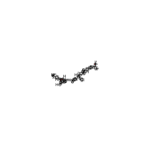 Cc1cc(S(=O)(=O)NC(=O)c2ccc(N3CCN(CC4=C(C56CC(C)(C5)C6)CC(C)(C)CC4)CC3)cc2)ccc1N[C@H](CCN1CCN(C(=O)CCCCCC(=O)N[C@H](C(=O)N2C[C@H](O)C[C@H]2C(=O)NCc2ccc(-c3scnc3C)cc2)C(C)(C)C)CC1)CSc1ccccc1